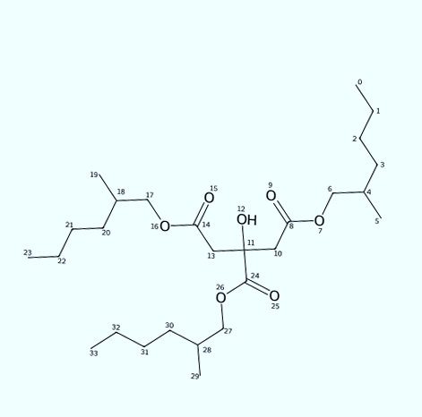 CCCCC(C)COC(=O)CC(O)(CC(=O)OCC(C)CCCC)C(=O)OCC(C)CCCC